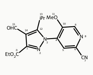 CCOC(=O)c1nn(-c2cc(C#N)ncc2OC)c(C(C)C)c1C=O